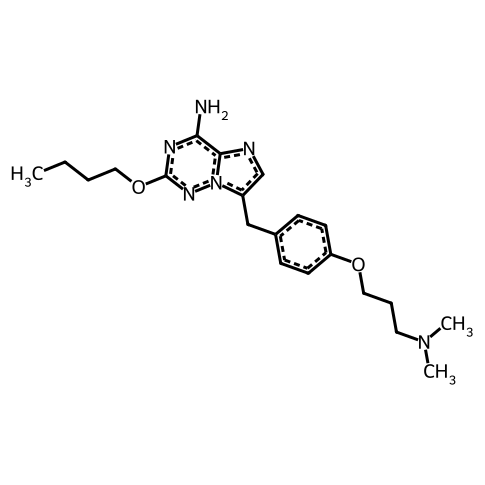 CCCCOc1nc(N)c2ncc(Cc3ccc(OCCCN(C)C)cc3)n2n1